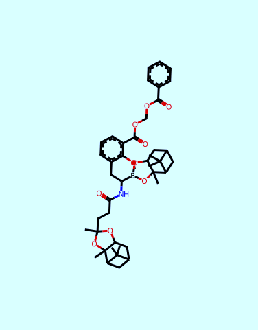 COc1c(CC(NC(=O)CCC2(C)OC3CC4CC(C4(C)C)C3(C)O2)B2OC3CC4CC(C4(C)C)C3(C)O2)cccc1C(=O)OCOC(=O)c1ccccc1